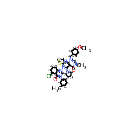 COc1ccc(CN2CN(C)C(=O)c3c2nc(SC)nc3N2CCC[C@H]2c2nc3cccc(Cl)c3c(=O)n2-c2cccc(C)c2)cc1